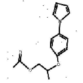 CC(=O)OCC(C)Oc1ccc(-n2cccc2)cc1